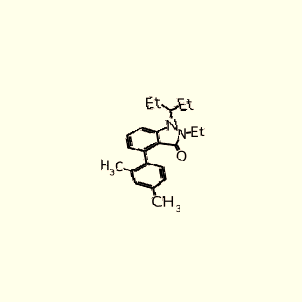 CCC(CC)n1c2cccc(-c3ccc(C)cc3C)c2c(=O)n1CC